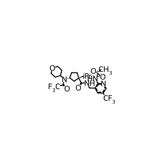 CC(C)[C@]1(C(=O)NCc2cc(C(F)(F)F)cnc2NS(C)(=O)=O)CC[C@@H](N(C(=O)C(F)(F)F)C2CCOCC2)C1